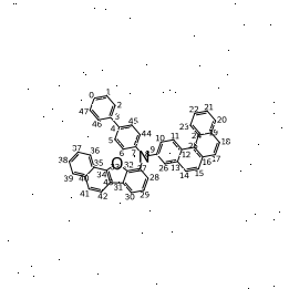 c1ccc(-c2ccc(N(c3ccc4c(ccc5ccc6ccccc6c54)c3)c3cccc4c3oc3c5ccccc5ccc43)cc2)cc1